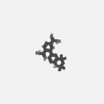 CC1(C)CC(C)(C)c2cc(-c3cc(C(=O)O)ccc3C(=O)O)ccc2S1